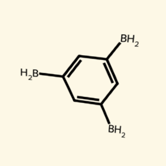 Bc1cc(B)cc(B)c1